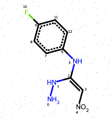 NNC(=C[N+](=O)[O-])Nc1ccc(F)cc1